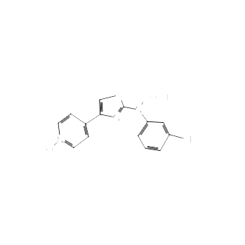 O=C(O)N(c1cccc(C(F)(F)F)c1)c1nc(-c2cc[n+]([O-])cc2)cs1